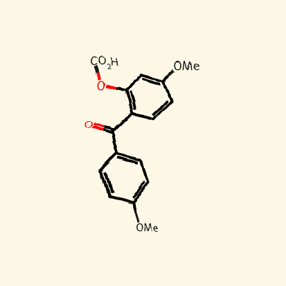 COc1ccc(C(=O)c2ccc(OC)cc2OC(=O)O)cc1